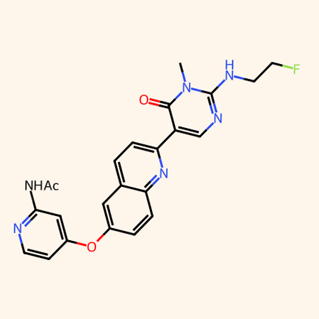 CC(=O)Nc1cc(Oc2ccc3nc(-c4cnc(NCCF)n(C)c4=O)ccc3c2)ccn1